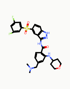 CN(C)Cc1ccc(C(=O)Nc2n[nH]c3ccc(S(=O)(=O)c4cc(F)cc(F)c4)cc23)c(NC2CCOCC2)c1